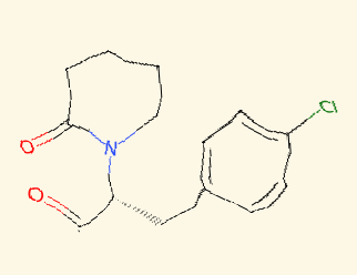 O=[C][C@@H](Cc1ccc(Cl)cc1)N1CCCCC1=O